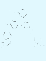 Cc1cccc(-c2nn(COCC[Si](C)(C)C)cc2-c2ccc(F)c(-c3ccc4c(c3)C=CS4(=O)=O)c2)n1